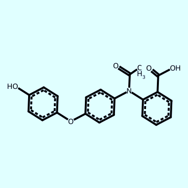 CC(=O)N(c1ccc(Oc2ccc(O)cc2)cc1)c1ccccc1C(=O)O